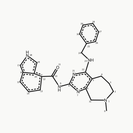 CN1CCCc2c(nc(NC(=O)c3cccc4c[nH]cc34)nc2NCc2ccccc2)C1